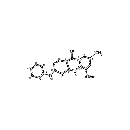 COc1cc(C)cc2c(=O)c3ccc(Oc4ccccc4)cc3oc12